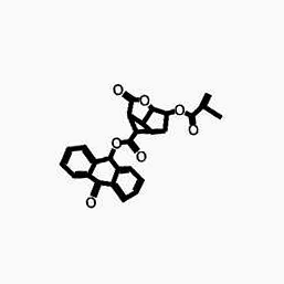 C=C(C)C(=O)OC1C2CC3C1OC(=O)C3C2C(=O)OC1c2ccccc2C(=O)c2ccccc21